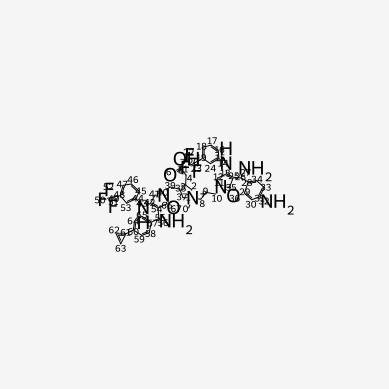 C[N+](CCCC(=O)O)(CCCN1CC(Nc2cccc(C(F)(F)F)c2)=C([C@H](N)c2ccc(N)cc2)C1=O)CCCN1CC(Nc2cccc(C(F)(F)F)c2)=C([C@H](N)c2ccc(C3=C=C3)cc2)C1=O